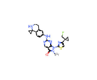 CC(C)n1c(=O)c2cnc(Nc3ccc4c(c3)CCNC43CC3)nc2n1-c1nc(C2(CF)CC2)cs1